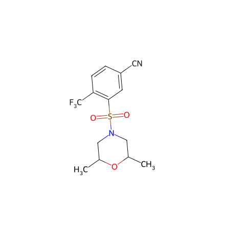 CC1CN(S(=O)(=O)c2cc(C#N)ccc2C(F)(F)F)CC(C)O1